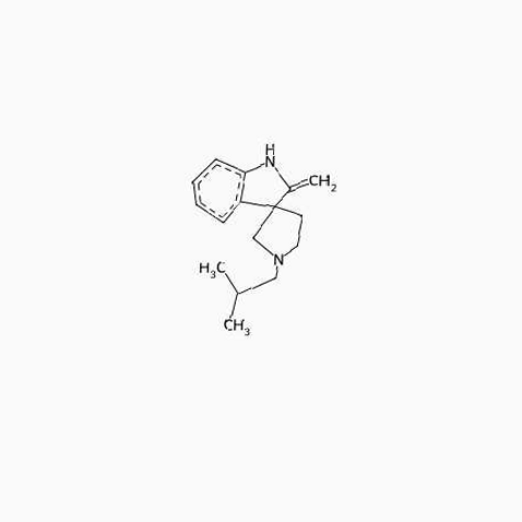 C=C1Nc2ccccc2C12CCN(CC(C)C)C2